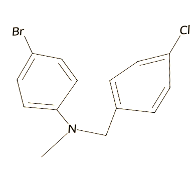 CN(Cc1ccc(Cl)cc1)c1ccc(Br)cc1